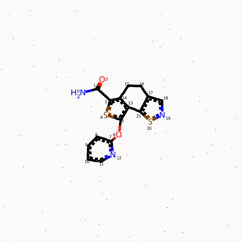 NC(=O)c1sc(Oc2ccccn2)c2c1CCc1cnsc1-2